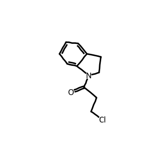 O=C(CCCl)N1CCc2ccccc21